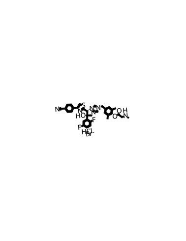 CNCC(=O)Oc1c(C)cc(C[n+]2cnn(C[C@](O)(c3cc(F)ccc3F)[C@@H](C)c3nc(-c4ccc(C#N)cc4)cs3)c2)cc1C.Cl.[Br-]